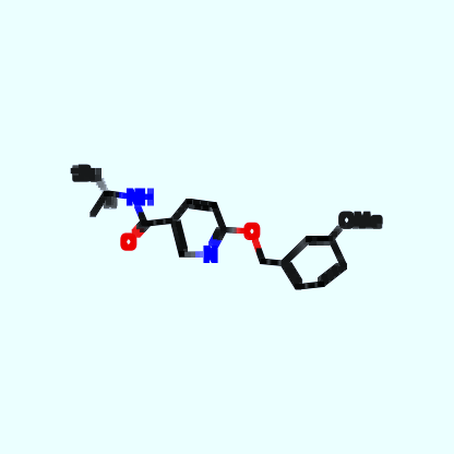 COc1cccc(COc2ccc(C(=O)N[C@H](C)C(C)(C)C)cn2)c1